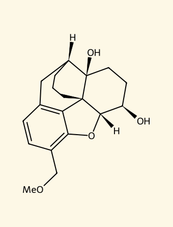 COCc1ccc2c3c1O[C@H]1[C@H](O)CC[C@@]4(O)[C@H](CCC[C@]314)C2